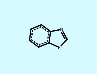 C1=Nc2ccccc2[P]1